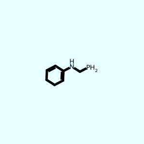 PCNC1=CCCC=C1